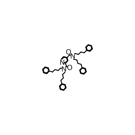 O=C(c1ccnc(C(=O)N(CCCCc2ccccc2)CCCCc2ccccc2)c1)N(CCCCc1ccccc1)CCCCc1ccccc1